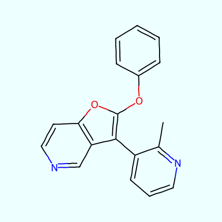 Cc1ncccc1-c1c(Oc2ccccc2)oc2ccncc12